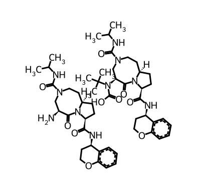 CC(C)NC(=O)N1CC[C@H]2CC[C@@H](C(=O)N[C@@H]3CCOc4ccccc43)N2C(=O)[C@@H](N(C(=O)O)C(C)(C)C)C1.CC(C)NC(=O)N1CC[C@H]2CC[C@@H](C(=O)N[C@@H]3CCOc4ccccc43)N2C(=O)[C@@H](N)C1